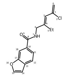 C=C(Cl)/C=C(\CC)CNC(=O)c1ccc2ccoc2c1